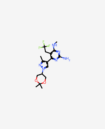 CNc1nc(N)nc(-c2cn(C3COC(C)(C)OC3)nc2C)c1CC(F)(F)F